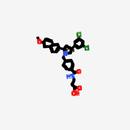 COc1ccc2cc([C@H]3C[C@@H](c4cc(Cl)cc(Cl)c4)CN3Cc3ccc(C(=O)NCCC(=O)O)cc3)ccc2c1